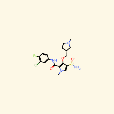 CN1CC[C@@H](COc2c([S+](N)[O-])cn(C)c2C(=O)Nc2ccc(F)c(Cl)c2)C1